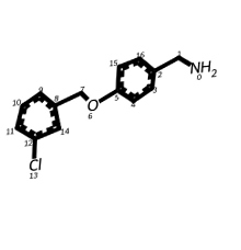 NCc1ccc(OCc2cccc(Cl)c2)cc1